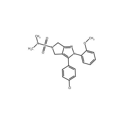 COc1ccccc1-n1nc2c(c1-c1ccc(Cl)cc1)CN(S(=O)(=O)N(C)C)C2